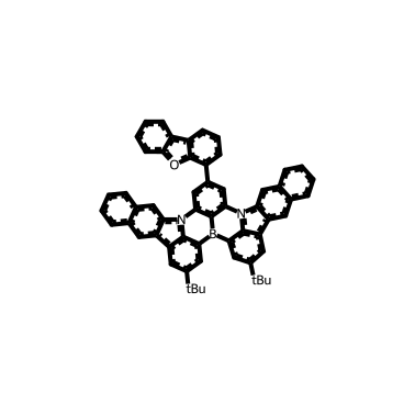 CC(C)(C)c1cc2c3c(c1)c1cc4ccccc4cc1n3-c1cc(-c3cccc4c3oc3ccccc34)cc3c1B2c1cc(C(C)(C)C)cc2c4cc5ccccc5cc4n-3c12